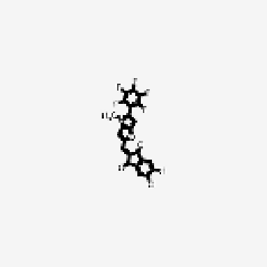 Cn1c(-c2c(F)c(F)c(F)c(F)c2F)cc2oc(C=C3C(=O)c4cc(Cl)c(Cl)cc4C3=O)cc21